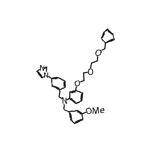 COc1cccc(CN(Cc2cccc(-n3ccnc3)c2)c2cccc(OCCOCCOCc3ccccc3)c2)c1